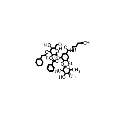 C#CCCCNC(=O)C1CC(CC)C(O[C@@H]2OC(C)[C@@H](O)C(O)C2O)[C@H](O[C@@H]2OC(CO)[C@H](O)C(O[C@@H](CC3CCCCC3)C(=O)O)C2OC(=O)c2ccccc2)C1